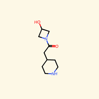 O=C(CC1CCNCC1)N1CC(O)C1